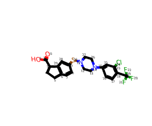 O=C(O)C1CCc2ccc(SN3CCN(c4ccc(C(F)(F)F)c(Cl)c4)CC3)cc21